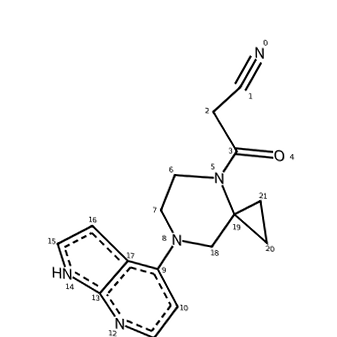 N#CCC(=O)N1CCN(c2ccnc3[nH]ccc23)CC12CC2